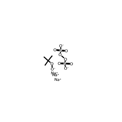 CC(C)(C)O[O-].O=S(=O)([O-])OOS(=O)(=O)[O-].[Na+].[Na+].[Na+]